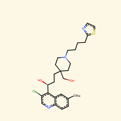 COc1ccc2ncc(Cl)c([C@@H](O)CCC3(CO)CCN(CCCCc4nccs4)CC3)c2c1